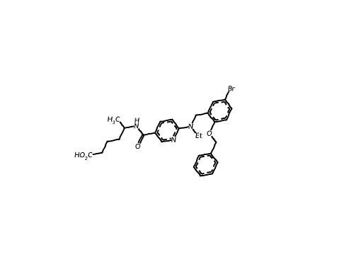 CCN(Cc1cc(Br)ccc1OCc1ccccc1)c1ccc(C(=O)NC(C)CCCC(=O)O)cn1